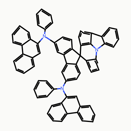 c1ccc(N(c2ccc3c(c2)-c2cc(N(c4ccccc4)c4cc5ccccc5c5ccccc45)ccc2C32c3ccccc3-n3c4ccccc4c4cccc2c43)c2cc3ccccc3c3ccccc23)cc1